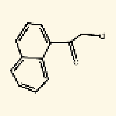 O=C(CCl)c1cccc2ccccc12